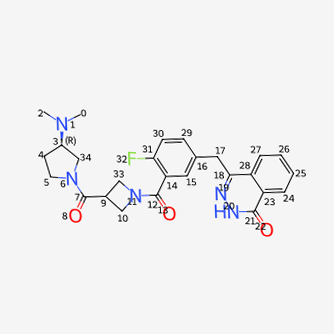 CN(C)[C@@H]1CCN(C(=O)C2CN(C(=O)c3cc(Cc4n[nH]c(=O)c5ccccc45)ccc3F)C2)C1